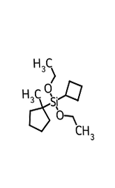 CCO[Si](OCC)(C1CCC1)C1(C)CCCC1